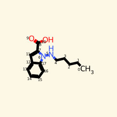 CCCCCNn1c(C(=O)O)cc2ccccc21